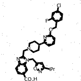 CC(C)c1cc(Cn2c(CN3CCC(c4cccc(OCc5ccc(Cl)cc5F)n4)CC3)nc3ccc(C(=O)O)cc32)on1